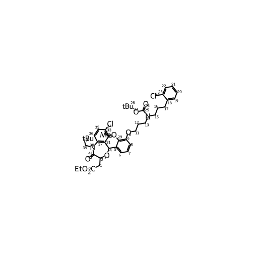 CCOC(=O)CC1OC(c2cccc(OCCCN(CCCc3ccccc3Cl)C(=O)OC(C)(C)C)c2OC)c2cc(Cl)ccc2N(CC(C)(C)C)C1=O